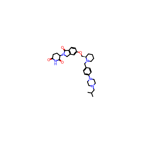 CC(C)CN1CCN(c2ccc(CN3CCCC[C@@H]3COc3ccc4c(c3)CN(C3CCC(=O)NC3=O)C4=O)cc2)CC1